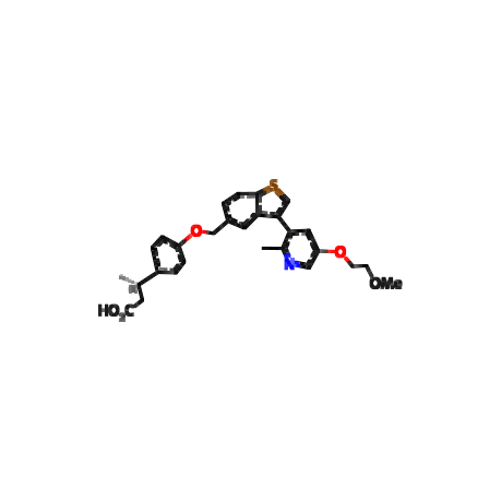 COCCOc1cnc(C)c(-c2csc3ccc(COc4ccc([C@@H](C)CC(=O)O)cc4)cc23)c1